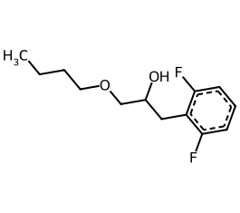 CCCCOCC(O)Cc1c(F)cccc1F